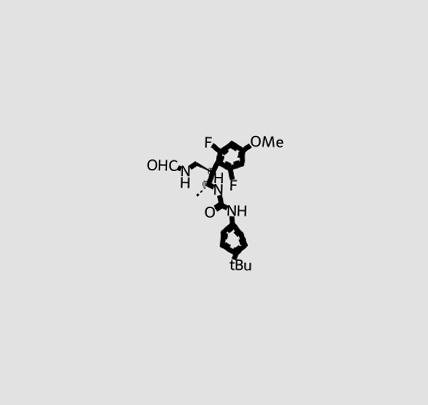 COc1cc(F)c([C@H](CNC=O)[C@@H](C)NC(=O)Nc2ccc(C(C)(C)C)cc2)c(F)c1